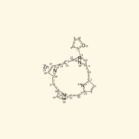 C1=Cc2cc3cc(-c4ccco4)c(cc4nc(cc5ccc(cc1n2)[nH]5)C=C4)[nH]3.[Zn]